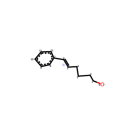 [O]CCCC/C=C/c1ccccc1